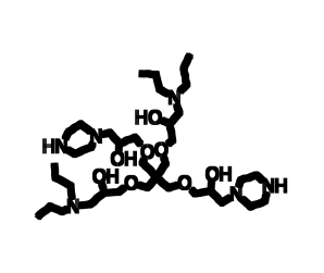 CCCN(CCC)CC(O)COCC(COCC(O)CN(CCC)CCC)(COCC(O)CN1CCNCC1)COCC(O)CN1CCNCC1